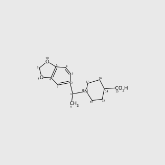 CC(c1ccc2c(c1)OCO2)N1CCC(C(=O)O)CC1